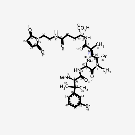 CN[C@@H](C(=O)N[C@H](C(=O)N(C)[C@H](/C=C(\C)C(=O)N[C@H](CCC(=O)NCCN1C(=O)C=CC1=O)C(=O)O)C(C)C)C(C)(C)C)C(C)(C)c1cccc(Br)c1